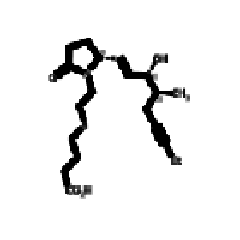 CCC#CC[C@H](C)[C@@H](O)C=C[C@H]1CCC(=O)N1CCSCCCC(=O)O